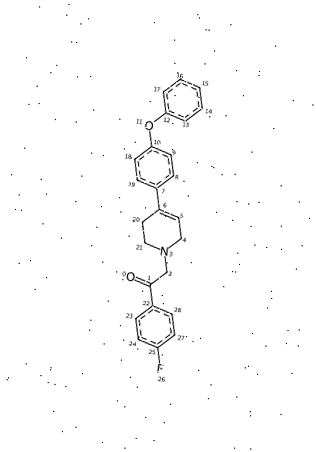 O=C(CN1CC=C(c2ccc(Oc3ccccc3)cc2)CC1)c1ccc(F)cc1